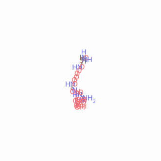 Nc1nc(=O)n([C@@H]2O[C@H](COP(=O)(O)O)C(O[PH](=O)O)C2O)cc1CCCNC(=O)c1ccc(/N=N/c2cc(CCNC(=O)CCOCCOCCOCCOCCNC(=O)CCCC[C@@H]3SC[C@@H]4NC(=O)N[C@@H]43)ccc2O)cc1